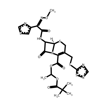 CO/N=C(\C(=O)NC1C(=O)N2C(C(=O)OC(C)OC(=O)C(C)(C)C)=C(CSc3ncns3)CS[C@H]12)c1cscn1